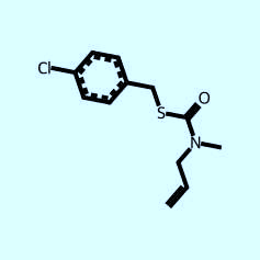 C=CCN(C)C(=O)SCc1ccc(Cl)cc1